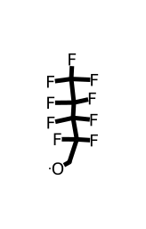 [O]CC(F)(F)C(F)(F)C(F)(F)C(F)(F)F